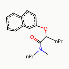 CCCC(Oc1ccc2ccccc2c1)C(=O)N(C)CCC